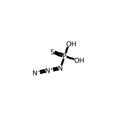 [N-]=[N+]=NP(O)(O)=S